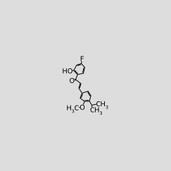 COc1cc(/C=C/C(=O)c2ccc(F)cc2O)ccc1C(C)C